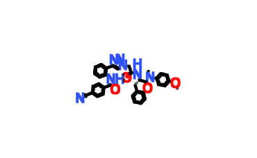 COc1ccc(N(C)C(=O)[C@H](Cc2ccccc2)NC(=O)Cn2cc(-c3ccccc3NC(=O)c3ccc(C#N)cc3)nn2)cc1